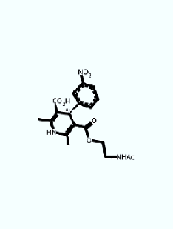 CC(=O)NCCOC(=O)C1=C(C)NC(C)=C(C(=O)O)[C@H]1c1cccc([N+](=O)[O-])c1